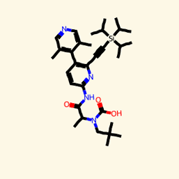 Cc1cncc(C)c1-c1ccc(NC(=O)C(C)N(CC(C)(C)C)C(=O)O)nc1C#C[Si](C(C)C)(C(C)C)C(C)C